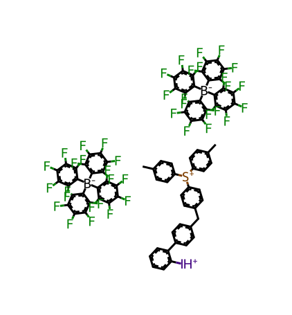 Cc1ccc([S+](c2ccc(C)cc2)c2ccc(Cc3ccc(-c4ccccc4[IH+])cc3)cc2)cc1.Fc1c(F)c(F)c([B-](c2c(F)c(F)c(F)c(F)c2F)(c2c(F)c(F)c(F)c(F)c2F)c2c(F)c(F)c(F)c(F)c2F)c(F)c1F.Fc1c(F)c(F)c([B-](c2c(F)c(F)c(F)c(F)c2F)(c2c(F)c(F)c(F)c(F)c2F)c2c(F)c(F)c(F)c(F)c2F)c(F)c1F